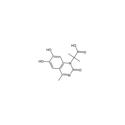 Cc1nc(=O)n(C(C)(C)C(=O)O)c2cc(O)c(O)cc12